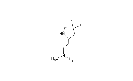 CN(C)CCC1CC(F)(F)CN1